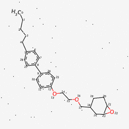 CCCCCc1ccc(-c2ccc(OCCOCC3CCC4OC4C3)cc2)cc1